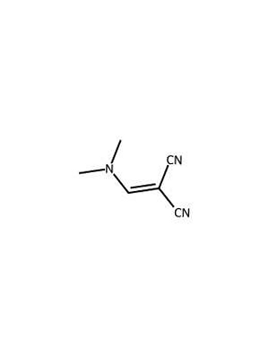 CN(C)C=C(C#N)C#N